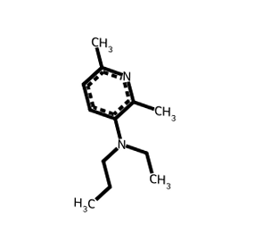 CCCN(CC)c1ccc(C)nc1C